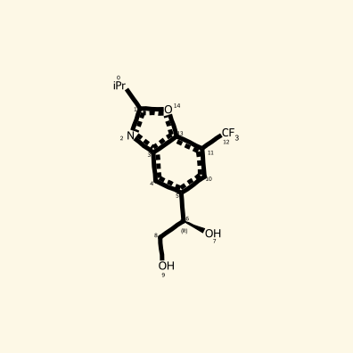 CC(C)c1nc2cc([C@@H](O)CO)cc(C(F)(F)F)c2o1